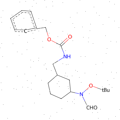 CC(C)(C)ON(C=O)C1CCCC(CNC(=O)OCc2ccccc2)C1